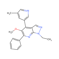 CCn1ncc2c(-c3cncc(C)c3)c(OC)c(-c3ccccc3)nc21